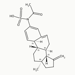 C=C1CC[C@@]2(C)CC[C@H]3[C@@H](CC=C4C=C(N(C(C)=O)S(=O)(=O)O)C=C[C@@H]43)[C@H]12